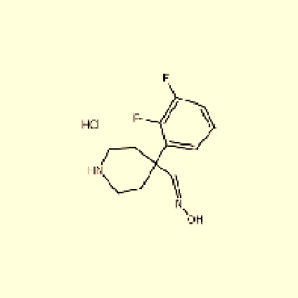 Cl.ON=CC1(c2cccc(F)c2F)CCNCC1